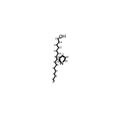 CCCCCCCCCCCCCCCCO.c1ccncc1